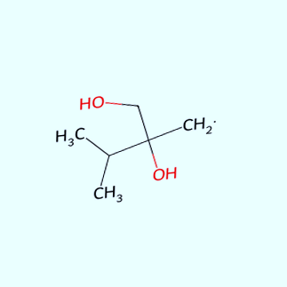 [CH2]C(O)(CO)C(C)C